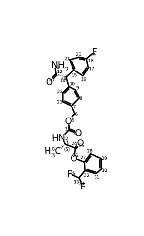 C[C@H](NC(=O)OCc1ccc([C@H](C(N)=O)c2ccc(F)cc2)cc1)C(=O)Oc1ccccc1C(F)F